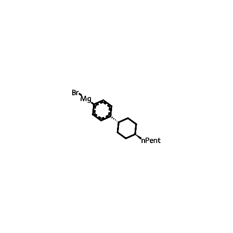 CCCCC[C@H]1CC[C@H](c2cc[c]([Mg][Br])cc2)CC1